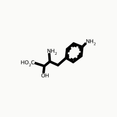 Nc1ccc(CC(N)C(O)C(=O)O)cc1